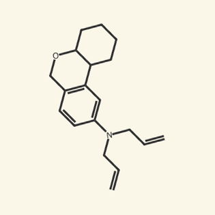 C=CCN(CC=C)c1ccc2c(c1)C1CCCCC1OC2